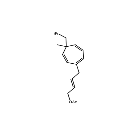 CC(=O)OC/C=C/CC1=CC=CC(C)(CC(C)C)C=C1